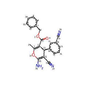 CC1=C(C(=O)OCc2ccccc2)C(c2cccc(C#N)c2)C(C#N)=C(N)O1